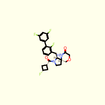 O=C1COC[C@@]2(CCN(C(=O)[C@H]3C[C@@H](F)C3)[C@H]2Cc2cccc(-c3cc(F)cc(F)c3)c2F)N1